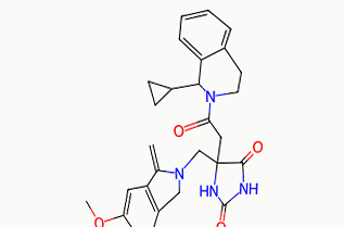 C=C1c2cc(OC)ccc2CN1CC1(CC(=O)N2CCc3ccccc3C2C2CC2)NC(=O)NC1=O